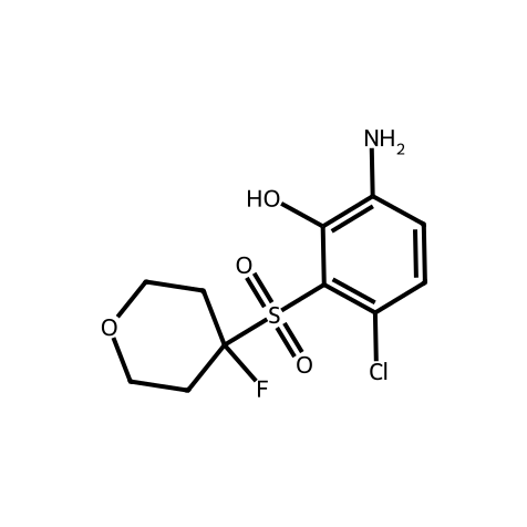 Nc1ccc(Cl)c(S(=O)(=O)C2(F)CCOCC2)c1O